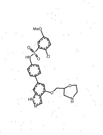 COc1ccc(Cl)c(S(=O)(=O)Nc2ccc(-c3cc(OCC4CNCCO4)c4cn[nH]c4c3)cc2)c1